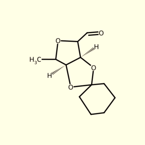 CC1OC(C=O)[C@H]2OC3(CCCCC3)O[C@@H]12